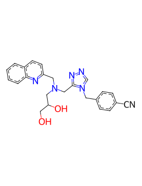 N#Cc1ccc(Cn2cnnc2CN(Cc2ccc3ccccc3n2)CC(O)CO)cc1